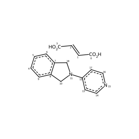 O=C(O)C=CC(=O)O.c1ccc2c(c1)CN(c1ccncc1)C2